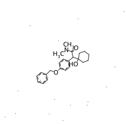 CN(C)C(=O)C(c1ccc(OCc2ccccc2)cc1)C1(O)CCCCC1